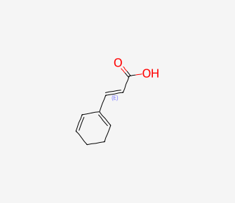 O=C(O)/C=C/C1=CCCC=C1